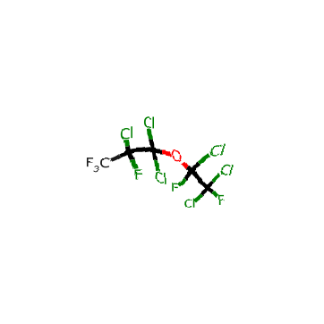 FC(F)(F)C(F)(Cl)C(Cl)(Cl)OC(F)(Cl)C(F)(Cl)Cl